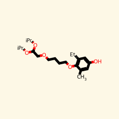 CCc1cc(O)cc(C)c1OCCCCOCC(OC(C)C)OC(C)C